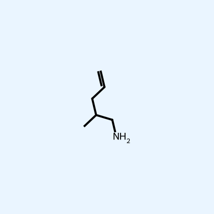 C=CCC(C)CN